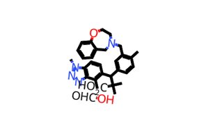 Cc1ccc(C(c2ccc3c(nnn3C)c2C)C(C)(C)C(=O)O)cc1CN1CCOc2ccccc2C1.O=CO